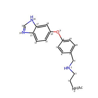 CC(=O)NCCNCc1ccc(Oc2ccc3nc[nH]c3c2)cc1